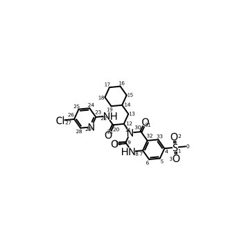 CS(=O)(=O)c1ccc2[nH]c(=O)n(C(CC3CCCCC3)C(=O)Nc3ccc(Cl)cn3)c(=O)c2c1